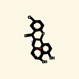 O=C1/C(=C/c2ccc(O)cc2)C(c2ccc(O)cc2)Oc2ccc(Cl)cc21